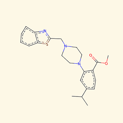 COC(=O)c1ccc(C(C)C)cc1N1CCN(Cc2nc3ccccc3s2)CC1